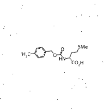 CSCCC(NC(=O)OCc1ccc(C)cc1)C(=O)O